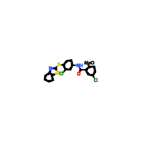 COc1ccc(Cl)cc1C(=O)Nc1ccc(Sc2nc3ccccc3s2)c(Cl)c1